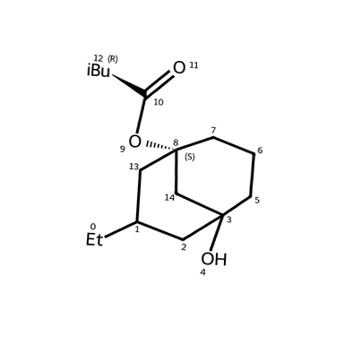 CCC1CC2(O)CCC[C@](OC(=O)[C@H](C)CC)(C1)C2